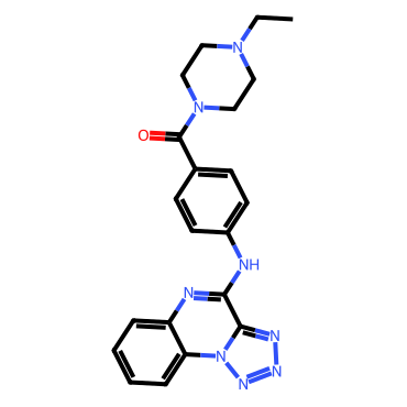 CCN1CCN(C(=O)c2ccc(Nc3nc4ccccc4n4nnnc34)cc2)CC1